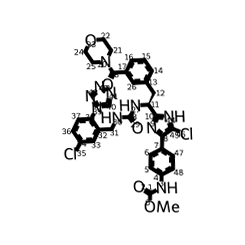 COC(=O)Nc1ccc(-c2nc([C@H](Cc3cccc(C(=O)N4CCOCC4)c3)NC(=O)NCc3cc(Cl)ccc3-n3cnnn3)[nH]c2Cl)cc1